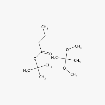 CCCC(=O)OC(C)(C)C.COC(C)(C)OC